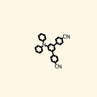 N#Cc1ccc(-c2cc(-c3ccc(C#N)cc3)cc(N(c3ccccc3)c3ccccc3)c2)cc1